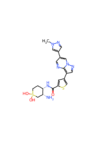 Cn1cc(-c2cnc3c(-c4csc(C(=O)N[C@H]5CCS(O)(O)C[C@H]5N)c4)cnn3c2)cn1